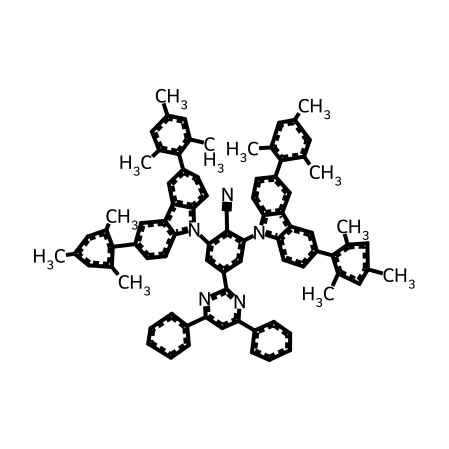 Cc1cc(C)c(-c2ccc3c(c2)c2cc(-c4c(C)cc(C)cc4C)ccc2n3-c2cc(-c3nc(-c4ccccc4)cc(-c4ccccc4)n3)cc(-n3c4ccc(-c5c(C)cc(C)cc5C)cc4c4cc(-c5c(C)cc(C)cc5C)ccc43)c2C#N)c(C)c1